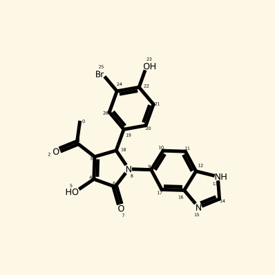 CC(=O)C1=C(O)C(=O)N(c2ccc3[nH]cnc3c2)C1c1ccc(O)c(Br)c1